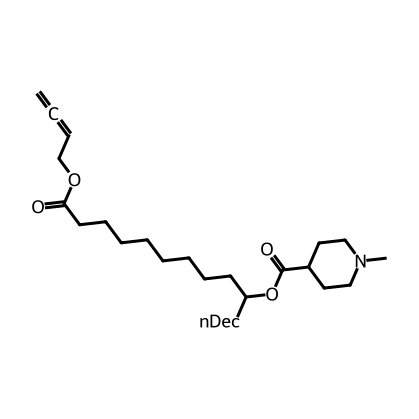 C=C=CCOC(=O)CCCCCCCCC(CCCCCCCCCC)OC(=O)C1CCN(C)CC1